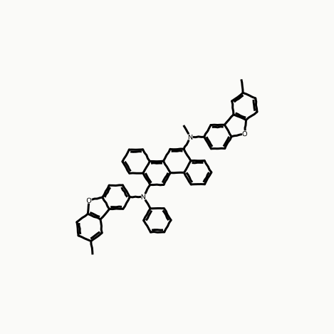 Cc1ccc2oc3ccc(N(C)c4cc5c6ccccc6c(N(c6ccccc6)c6ccc7oc8ccc(C)cc8c7c6)cc5c5ccccc45)cc3c2c1